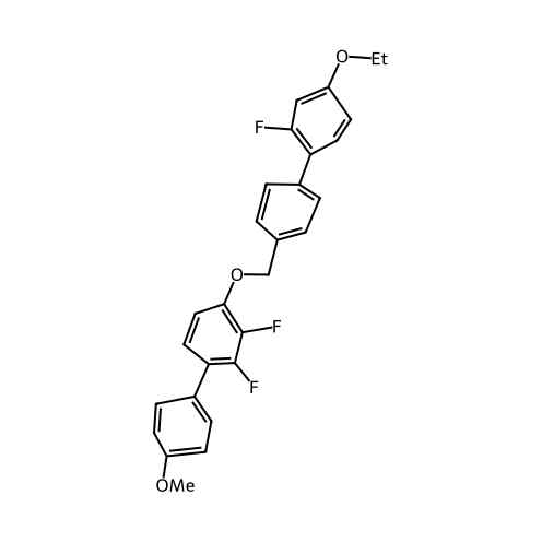 CCOc1ccc(-c2ccc(COc3ccc(-c4ccc(OC)cc4)c(F)c3F)cc2)c(F)c1